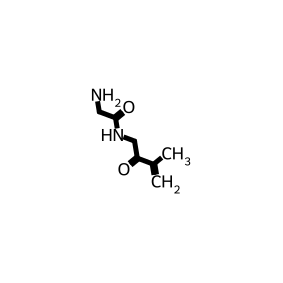 C=C(C)C(=O)CNC(=O)CN